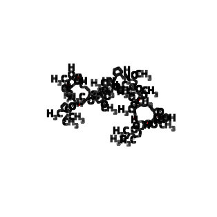 CCC(C)[C@H]1O[C@]2(C=C[C@@H]1C)C[C@@H]1C[C@@H](C/C=C(\C)[C@@H](O[C@H]3C[C@H](OC)[C@@H](O[C@H]4C[C@H](OC)[C@H](NCc5ccccc5CN[C@@H]5[C@H](C)O[C@@H](O[C@H]6[C@H](C)O[C@@H](O[C@@H]7/C(C)=C/C[C@@H]8C[C@@H](C[C@]9(C=C[C@H](C)[C@@H](C(C)CC)O9)O8)OC(=O)[C@@H]8C=C(C)[C@@H](O)[C@H]9OCC(C/C=C/[C@@H]7C)[C@]98O)C[C@@H]6OC)C[C@@H]5OC)[C@H](C)O4)[C@H](C)O3)[C@@H](C)/C=C/C=C3\CO[C@@H]4[C@H](O)C(C)=C[C@@H](C(=O)O1)[C@]34O)O2